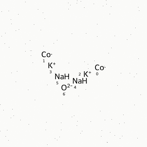 [Co].[Co].[K+].[K+].[NaH].[NaH].[O-2]